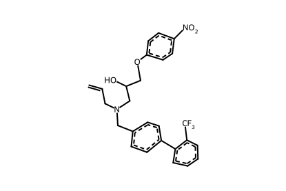 C=CCN(Cc1ccc(-c2ccccc2C(F)(F)F)cc1)CC(O)COc1ccc([N+](=O)[O-])cc1